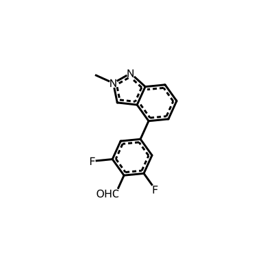 Cn1cc2c(-c3cc(F)c(C=O)c(F)c3)cccc2n1